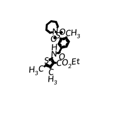 CCOC(=O)c1c(NC(=O)c2ccc(C)c(S(=O)(=O)N3CCCCCC3)c2)sc(C)c1C